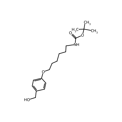 CC(C)(C)OC(=O)NCCCCCCOc1ccc(CO)cc1